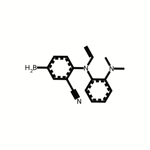 Bc1ccc(N(C=C)c2ccccc2N(C)C)c(C#N)c1